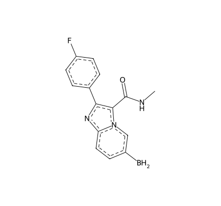 Bc1ccc2nc(-c3ccc(F)cc3)c(C(=O)NC)n2c1